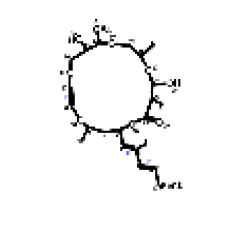 CCCCC/C=C/C(C)=C/C1CC(C)C/C=C/CCC(O)C(OC(C)=O)CCC(C)CC(O)C(C)C(=O)O1